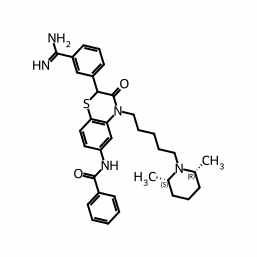 C[C@@H]1CCC[C@H](C)N1CCCCCN1C(=O)C(c2cccc(C(=N)N)c2)Sc2ccc(NC(=O)c3ccccc3)cc21